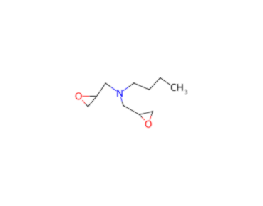 CCCCN(CC1CO1)CC1CO1